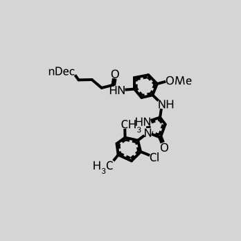 CCCCCCCCCCCCCC(=O)Nc1ccc(OC)c(Nc2cc(=O)n(-c3c(C)cc(C)cc3Cl)[nH]2)c1